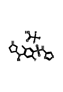 CCN(c1cc(F)c(S(=O)(=O)Nc2cscn2)cc1C)[C@H]1CCNC1.O=C(O)C(F)(F)F